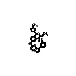 C=CC(=O)Nc1cc(Nc2ncn3ccc(-c4cccc(F)c4)c3n2)ccc1OC1CCN(C)C1